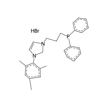 Br.Cc1cc(C)c(N2C=CN(CCCP(c3ccccc3)c3ccccc3)C2)c(C)c1